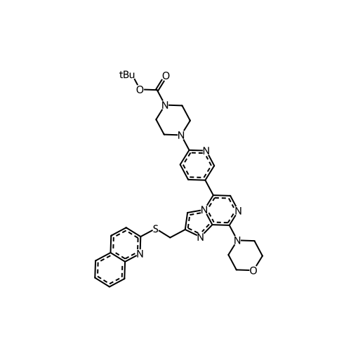 CC(C)(C)OC(=O)N1CCN(c2ccc(-c3cnc(N4CCOCC4)c4nc(CSc5ccc6ccccc6n5)cn34)cn2)CC1